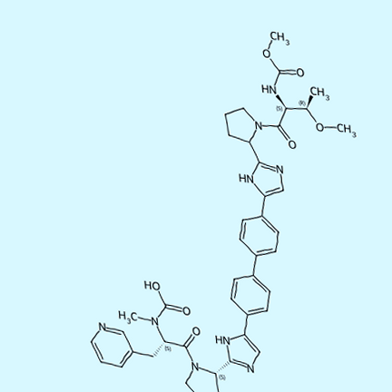 COC(=O)N[C@H](C(=O)N1CCCC1c1ncc(-c2ccc(-c3ccc(-c4cnc([C@@H]5CCCN5C(=O)[C@H](Cc5cccnc5)N(C)C(=O)O)[nH]4)cc3)cc2)[nH]1)[C@@H](C)OC